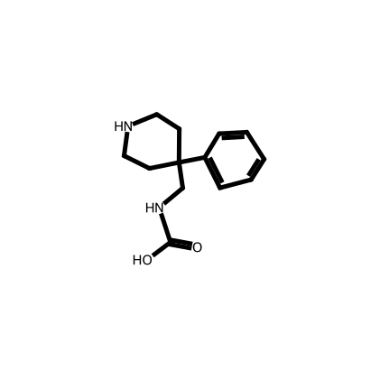 O=C(O)NCC1(c2ccccc2)CCNCC1